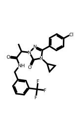 CC(C(=O)NCc1cccc(C(F)(F)F)c1)n1nc(-c2ccc(Cl)cc2)n(C2CC2)c1=O